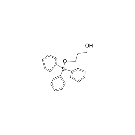 OCCCO[Si](c1ccccc1)(c1ccccc1)c1ccccc1